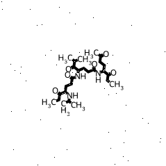 CCC(=O)C(CCC(C)=O)NC(=O)CCC(NC(=O)CCC(NC(C)C)C(=O)CC)C(=O)C(C)C